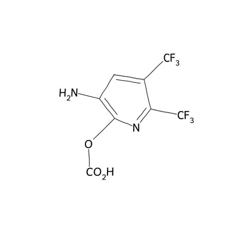 Nc1cc(C(F)(F)F)c(C(F)(F)F)nc1OC(=O)O